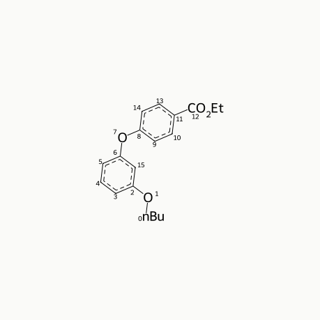 CCCCOc1cccc(Oc2ccc(C(=O)OCC)cc2)c1